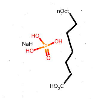 CCCCCCCCCCCCCC(=O)O.O=P(O)(O)O.[NaH]